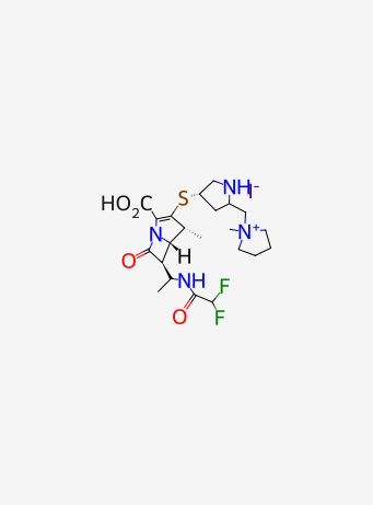 CC(NC(=O)C(F)F)[C@H]1C(=O)N2C(C(=O)O)=C(S[C@@H]3CNC(C[N+]4(C)CCCC4)C3)[C@H](C)[C@H]12.[I-]